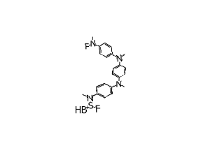 B=S(F)N(C)c1ccc(N(C)c2ccc(N(C)c3ccc(N(C)F)cc3)cc2)cc1